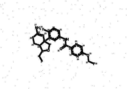 CCC1OCC2(c3cc(NC(=O)c4cnc(OCF)cn4)ccc3F)N=C(N)SCC12